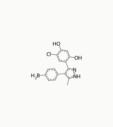 Bc1ccc(-c2c(-c3cc(Cl)c(O)cc3O)n[nH]c2C)cc1